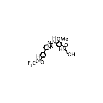 COc1cc(C(=O)NCCO)ccc1Nc1nc2ccc(-c3ccc(C(=O)NCC(F)(F)F)cc3)cn2n1